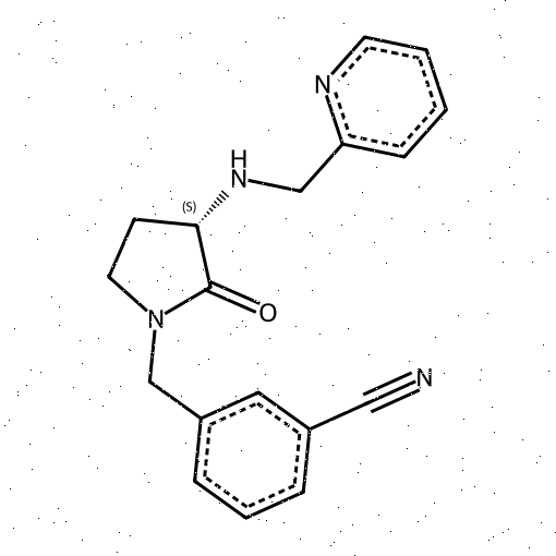 N#Cc1cccc(CN2CC[C@H](NCc3ccccn3)C2=O)c1